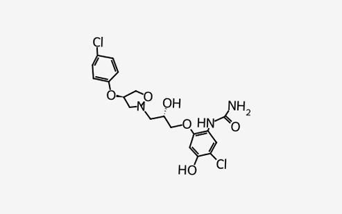 NC(=O)Nc1cc(Cl)c(O)cc1OC[C@@H](O)CN1C[C@@H](Oc2ccc(Cl)cc2)CO1